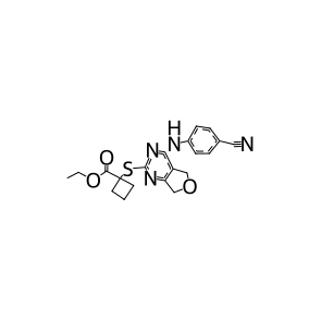 CCOC(=O)C1(Sc2nc3c(c(Nc4ccc(C#N)cc4)n2)COC3)CCC1